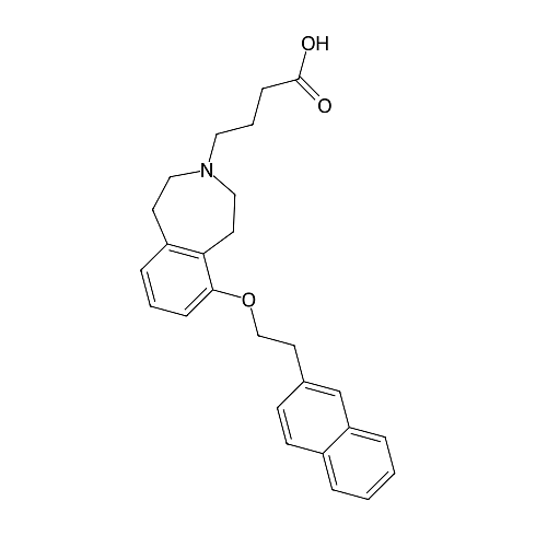 O=C(O)CCCN1CCc2cccc(OCCc3ccc4ccccc4c3)c2CC1